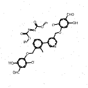 CC(C)OC(=O)N=NC(=O)OC(C)C.Cc1c(COc2cc(O)c(C=O)cc2Cl)cccc1-c1cncc(COc2cc(O)c(C=O)cc2Cl)c1